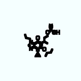 CCCC.CCCn1cnc2c1c(=O)n(C(C)CCO[PH](=O)O)c(=O)n2C1CC1